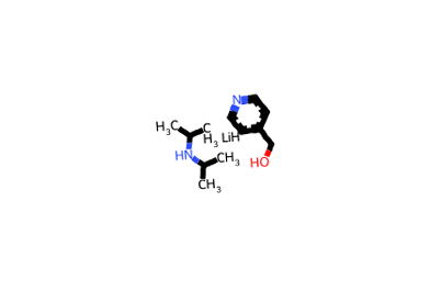 CC(C)NC(C)C.OCc1ccncc1.[LiH]